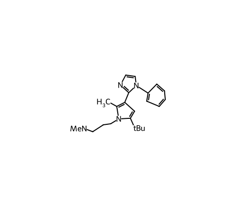 CNCCCn1c(C(C)(C)C)cc(-c2nccn2-c2ccccc2)c1C